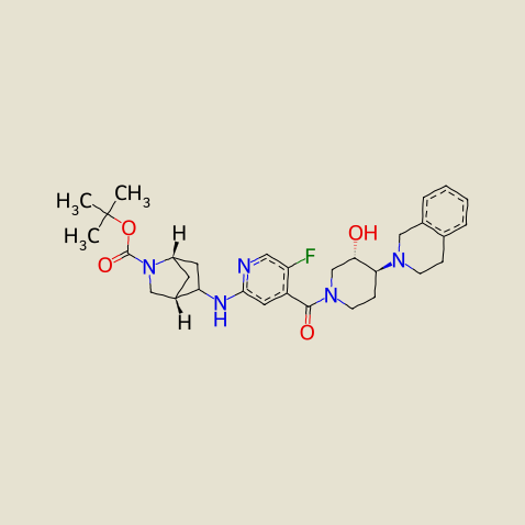 CC(C)(C)OC(=O)N1C[C@@H]2C[C@H]1CC2Nc1cc(C(=O)N2CC[C@H](N3CCc4ccccc4C3)[C@@H](O)C2)c(F)cn1